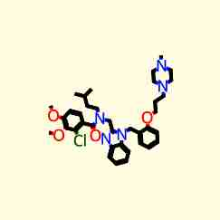 COc1ccc(C(=O)N(CCC(C)C)Cc2nc3ccccc3n2Cc2ccccc2OCCCN2CCN(C)CC2)c(Cl)c1OC